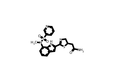 CN(c1cccc2cc(C3=NCC(CC(N)=O)S3)[nH]c12)S(=O)(=O)c1cccnc1